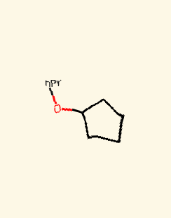 CCCOC1CCCC1